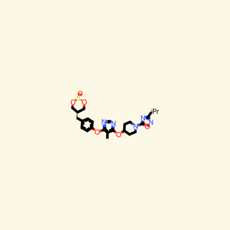 Cc1c(Oc2ccc(C[C@H]3CO[S@](=O)OC3)cc2)ncnc1OC1CCN(c2nc(C(C)C)no2)CC1